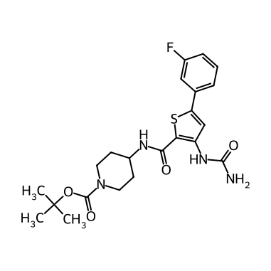 CC(C)(C)OC(=O)N1CCC(NC(=O)c2sc(-c3cccc(F)c3)cc2NC(N)=O)CC1